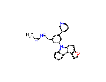 C/C=C\N=C/Cc1cc(-c2cccnc2)cc(-n2c3ccccc3c3c4ccoc4ccc32)c1